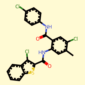 Cc1cc(NC(=O)c2sc3ccccc3c2Cl)c(C(=O)Nc2ccc(Cl)cc2)cc1Cl